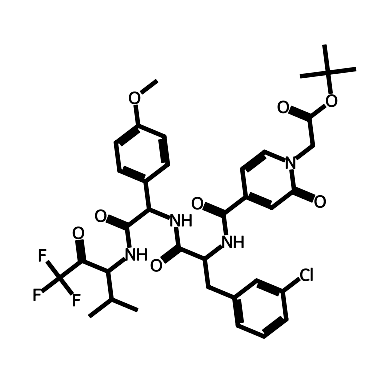 COc1ccc(C(NC(=O)C(Cc2cccc(Cl)c2)NC(=O)c2ccn(CC(=O)OC(C)(C)C)c(=O)c2)C(=O)NC(C(=O)C(F)(F)F)C(C)C)cc1